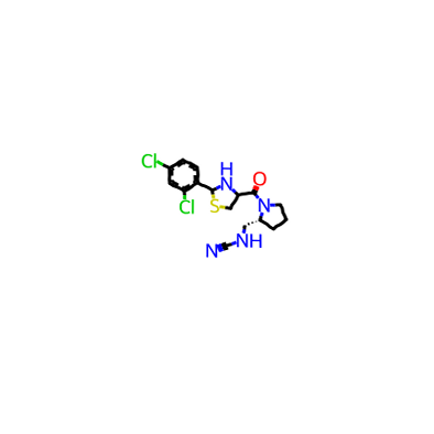 N#CNC[C@H]1CCCN1C(=O)C1CSC(c2ccc(Cl)cc2Cl)N1